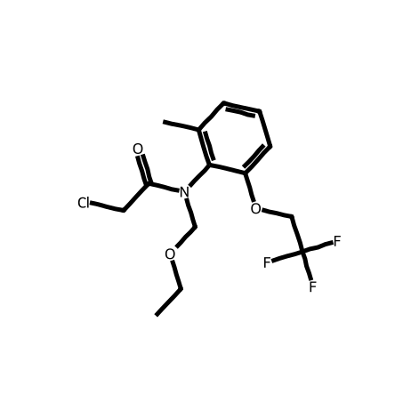 CCOCN(C(=O)CCl)c1c(C)cccc1OCC(F)(F)F